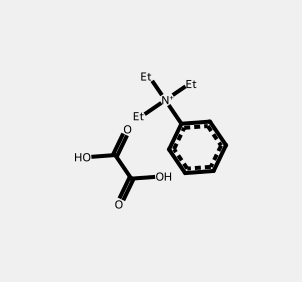 CC[N+](CC)(CC)c1ccccc1.O=C(O)C(=O)O